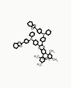 Cc1cc(C)c(-c2cc3nc(-c4ccc(N(c5ccccc5)c5ccc(-c6nc7ccccc7o6)cc5)cc4)c(-c4ccc(N(c5ccccc5)c5ccc(-c6nc7ccccc7o6)cc5)cc4)nc3cc2-c2c(C)cc(C)cc2C)c(C)c1